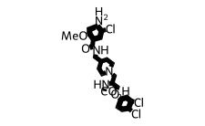 COc1cc(N)c(Cl)cc1C(=O)NCC1CCN(CC(COc2ccc(Cl)c(Cl)c2)NC(=O)O)CC1